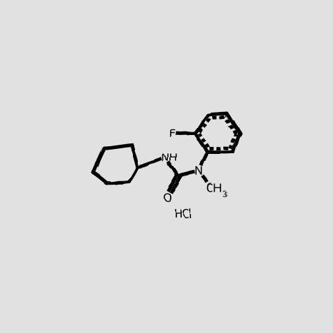 CN(C(=O)NC1CCCCC1)c1ccccc1F.Cl